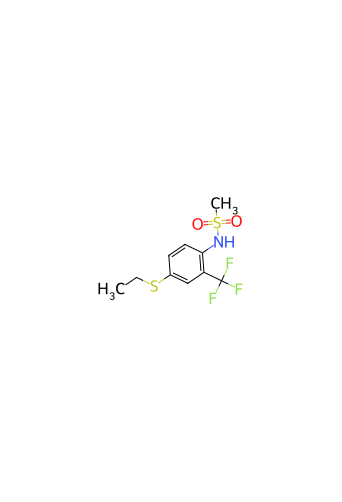 CCSc1ccc(NS(C)(=O)=O)c(C(F)(F)F)c1